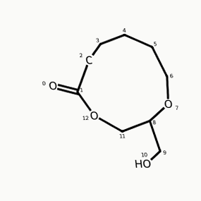 O=C1CCCCCOC(CO)CO1